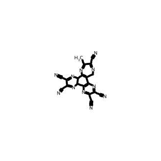 CC1=NC2=C(CN=C1C#N)c1nc(C#N)c(C#N)nc1C1N=C(C#N)C(C#N)=NC21